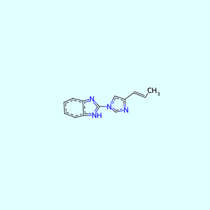 C/C=C/c1cn(-c2nc3ccccc3[nH]2)cn1